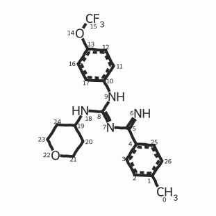 Cc1ccc(C(=N)/N=C(\Nc2ccc(OC(F)(F)F)cc2)NC2CCOCC2)cc1